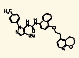 Cc1ccc(-n2ncc(C(C)(C)C)c2NC(=O)Nc2ccc(OCCc3ccnc4c3CCCO4)c3ccccc23)cc1